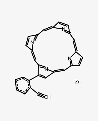 C#Cc1ccccc1C1=CC2=CC3=NC(=CC4=NC(=CC5=NC(=CC1=N2)C=C5)C=C4)C=C3.[Zn]